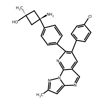 Cc1cc2ncc3cc(-c4ccc(Cl)cc4)c(-c4ccc([C@]5(N)C[C@@](C)(O)C5)cc4)nc3n2n1